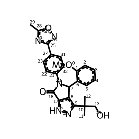 COc1ccccc1C1c2c(C(C)(C)CO)n[nH]c2C(=O)N1c1ccc(-c2noc(C)n2)cc1